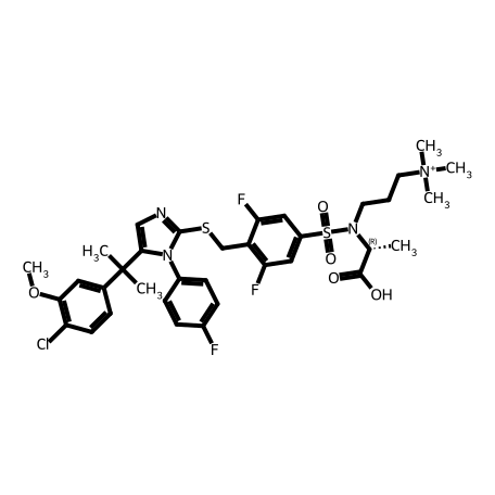 COc1cc(C(C)(C)c2cnc(SCc3c(F)cc(S(=O)(=O)N(CCC[N+](C)(C)C)[C@H](C)C(=O)O)cc3F)n2-c2ccc(F)cc2)ccc1Cl